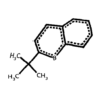 CC(C)(C)c1bc2ccccc2c[c]1